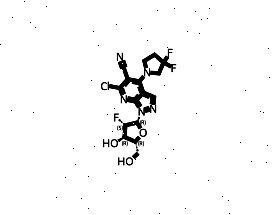 N#Cc1c(Cl)nc2c(cnn2[C@@H]2O[C@H](CO)[C@@H](O)[C@@H]2F)c1N1CCC(F)(F)C1